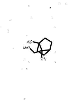 CNCC1(C)C2CCC1(C)CC2